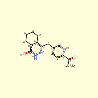 CNC(=O)c1ccc(Cc2n[nH]c(=O)c3c2CCCC3)cn1